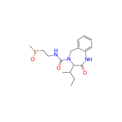 CCC(C)C1C(=O)Nc2ccccc2CN1C(=O)NCC[S+](C)[O-]